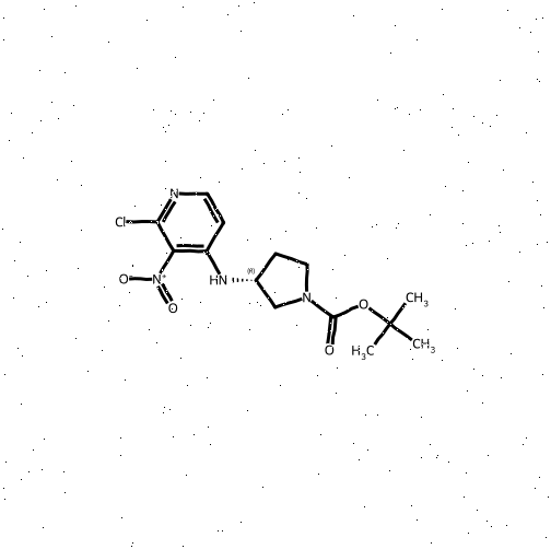 CC(C)(C)OC(=O)N1CC[C@@H](Nc2ccnc(Cl)c2[N+](=O)[O-])C1